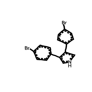 Brc1ccc(-c2c[nH]cc2-c2ccc(Br)cc2)cc1